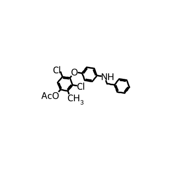 CC(=O)Oc1cc(Cl)c(Oc2ccc(NCc3ccccc3)cc2)c(Cl)c1C